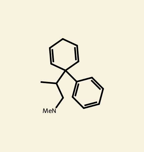 CNCC(C)C1(c2ccccc2)C=CCC=C1